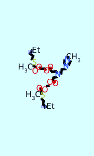 CC/C=C\CCSC(C)C(=O)OCCOC(=O)CCN(CCCN1CCN(C)CC1)CCC(=O)OCCOC(=O)C(C)SCC/C=C\CC